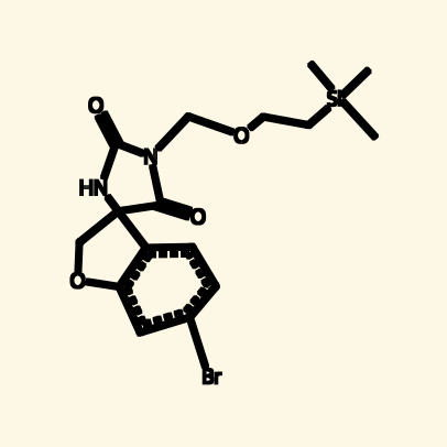 C[Si](C)(C)CCOCN1C(=O)NC2(COc3cc(Br)ccc32)C1=O